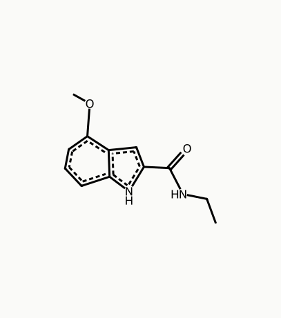 CCNC(=O)c1cc2c(OC)cccc2[nH]1